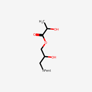 CCCCCCC(O)COC(=O)C(C)O